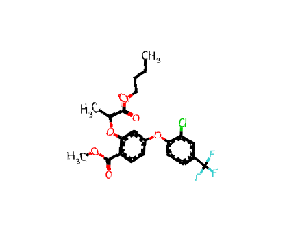 CCCCOC(=O)C(C)Oc1cc(Oc2ccc(C(F)(F)F)cc2Cl)ccc1C(=O)OC